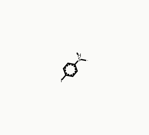 [CH2][SH](C)c1ccc(I)cc1